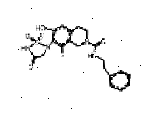 O=C1CN(c2c(O)cc3c(c2F)CN(C(=O)NCCc2ccccc2)CC3)S(=O)(=O)N1